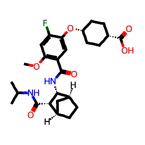 COc1cc(F)c(O[C@H]2CC[C@@H](C(=O)O)CC2)cc1C(=O)N[C@@H]1[C@H]2CC[C@H](C2)[C@@H]1C(=O)NC(C)C